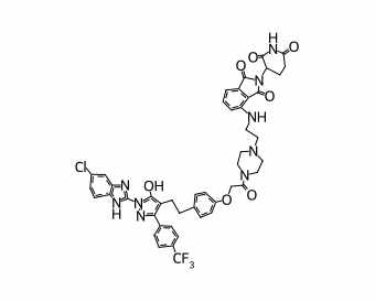 O=C1CCC(N2C(=O)c3cccc(NCCN4CCN(C(=O)COc5ccc(CCc6c(-c7ccc(C(F)(F)F)cc7)nn(-c7nc8cc(Cl)ccc8[nH]7)c6O)cc5)CC4)c3C2=O)C(=O)N1